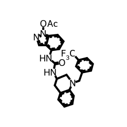 CC(=O)On1ncc2c(NC(=O)NC3Cc4ccccc4N(Cc4cccc(C(F)(F)F)c4)C3)cccc21